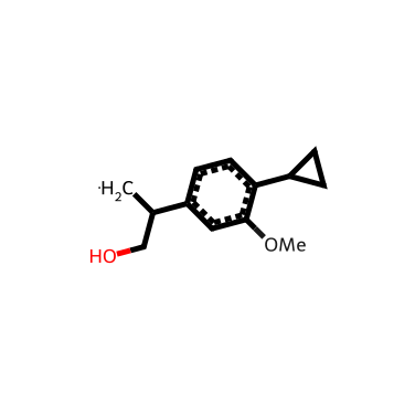 [CH2]C(CO)c1ccc(C2CC2)c(OC)c1